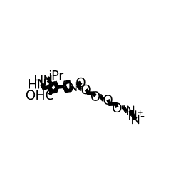 CC(C)Nc1cc(C2=CCN(C(=O)COCCOCCOCCOCCN=[N+]=[N-])CC2)cc(C=O)c1C=N